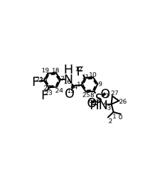 CC(C)C1(NS(=O)(=O)c2ccc(F)c(C(=O)Nc3ccc(F)c(F)c3)c2)CC1